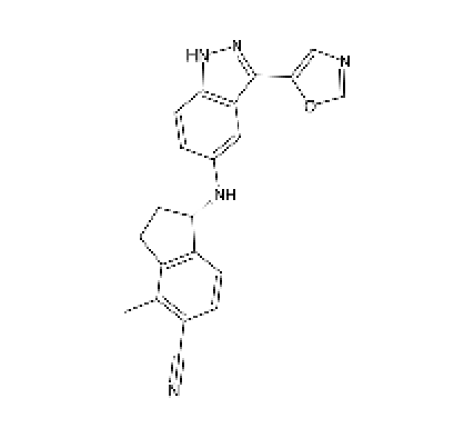 Cc1c(C#N)ccc2c1CC[C@@H]2Nc1ccc2[nH]nc(-c3cnco3)c2c1